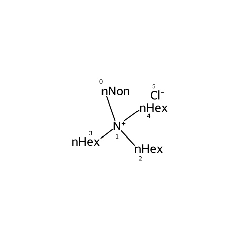 CCCCCCCCC[N+](CCCCCC)(CCCCCC)CCCCCC.[Cl-]